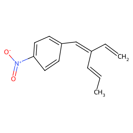 C=CC(C=CC)=Cc1ccc([N+](=O)[O-])cc1